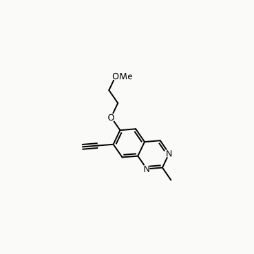 C#Cc1cc2nc(C)ncc2cc1OCCOC